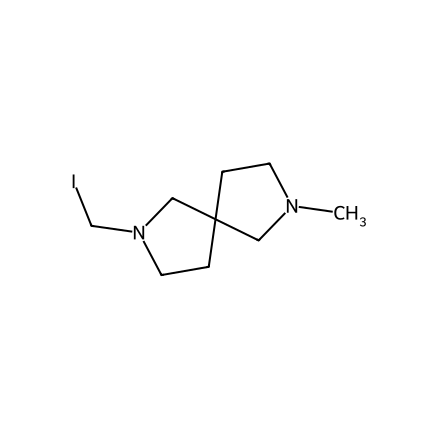 CN1CCC2(CCN(CI)C2)C1